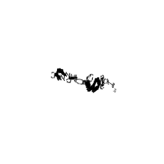 CS(=O)(=O)c1ccc(CC(=O)OCC(=O)Nc2ccc(Cl)cn2)cc1